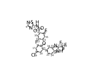 O=S(=O)(Nc1ncns1)c1cc(F)c(Oc2ccc(Cl)cc2-c2ccc3[nH]c(C(F)(F)F)nc3c2)cc1F